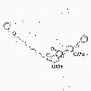 COc1cc(-c2cc(=O)c3c(cc(OC)c4cc(CCCCCCCCCCCOCc5ccccc5)oc43)o2)ccc1OCc1ccccc1